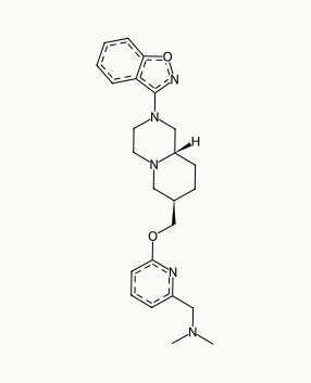 CN(C)Cc1cccc(OC[C@@H]2CC[C@H]3CN(c4noc5ccccc45)CCN3C2)n1